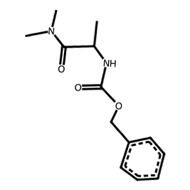 CC(NC(=O)OCc1ccccc1)C(=O)N(C)C